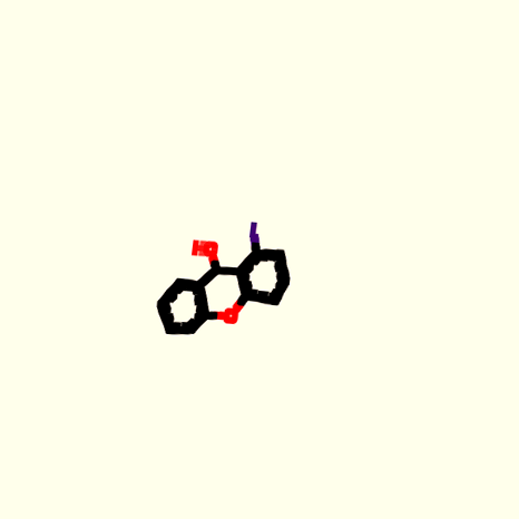 OC1c2ccccc2Oc2cccc(I)c21